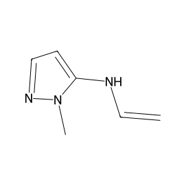 C=CNc1ccnn1C